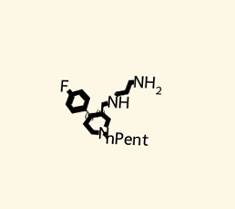 CCCCCN1CC[C@H](c2ccc(F)cc2)[C@@H](CNCCCN)C1